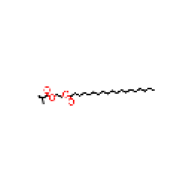 C=C(C)C(=O)OCCOC(=O)CCCCCCCCCCCCCCCCCC